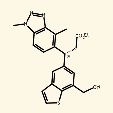 CCOC(=O)C[C@H](c1cc(CO)c2sccc2c1)c1ccc2c(nnn2C)c1C